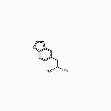 CC(C)Cc1ccc2sccc2c1